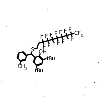 Cc1cccc(C(SCCC(F)(F)C(F)(F)C(F)(F)C(F)(F)C(F)(F)C(F)(F)C(F)(F)C(F)(F)F)c2cc(C(C)(C)C)cc(C(C)(C)C)c2O)c1